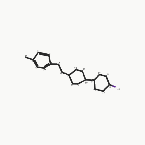 Cc1ccc(CCC2CCC(C3CCC(I)CC3)CC2)cc1